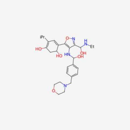 CCNC(O)c1noc(C2=CC(C(C)C)=C(O)CC2O)c1NC(O)c1ccc(CN2CCOCC2)cc1